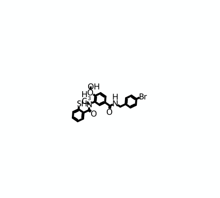 CN(C(=O)c1ccccc1S)c1cc(C(=O)NCc2ccc(Br)cc2)ccc1OO